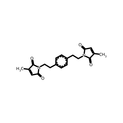 CC1=CC(=O)N(CCc2ccc(CCN3C(=O)C=C(C)C3=O)cc2)C1=O